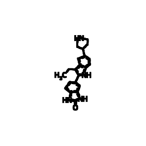 CCc1c(-c2ccc3[nH]c(=O)[nH]c3c2)[nH]c2ccc(C3CCNCC3)cc12